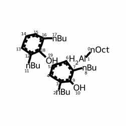 CCCCCCC[CH2][AlH2].CCCCc1cccc(CCCC)c1O.CCCCc1cccc(CCCC)c1O